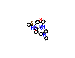 c1ccc(-c2nc(-c3cccc4oc5ccc(-c6nc(-c7ccccc7)nc7c6sc6ccccc67)cc5c34)nc(-c3cccc4c3c3ccccc3n4-c3ccccc3)n2)cc1